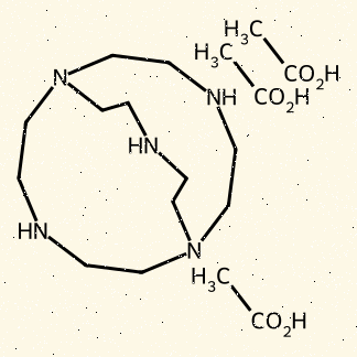 C1CN2CCNCCN(CCN1)CCNCC2.CC(=O)O.CC(=O)O.CC(=O)O